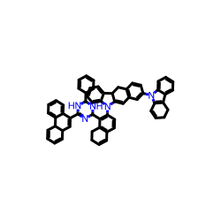 C1=CCC(C2NC(C3=CC4C=CC=CC4c4ccccc43)=NC(c3c(N4C5=Cc6cc(-n7c8c(c9ccccc97)CCC=C8)ccc6CC5c5ccccc54)ccc4c3CCC=C4)N2)C=C1